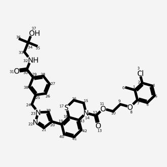 Cc1c(Cl)cccc1OCCOC(=O)N1CCSc2c(-c3cnn(Cc4cccc(C(=O)NCC(C)(C)O)c4)c3)cccc21